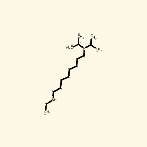 CCNCC[CH]CCCCCN(C(C)C)C(C)C